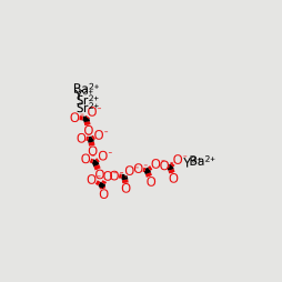 O=C([O-])[O-].O=C([O-])[O-].O=C([O-])[O-].O=C([O-])[O-].O=C([O-])[O-].O=C([O-])[O-].O=C([O-])[O-].[Ba+2].[Ba+2].[Sr+2].[Sr+2].[Y+3].[Y+3]